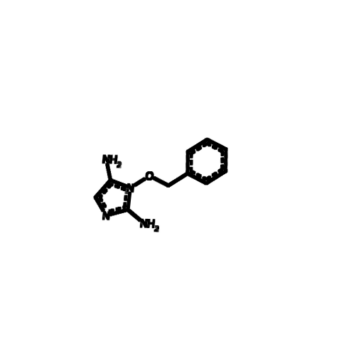 Nc1cnc(N)n1OCc1ccccc1